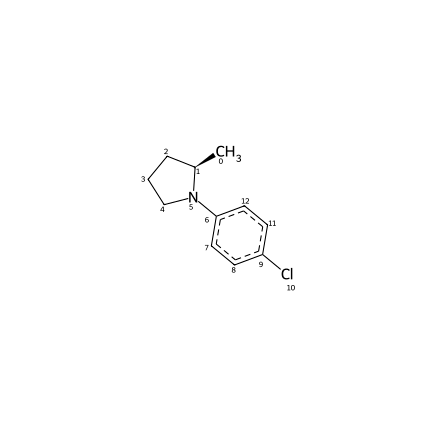 C[C@@H]1CCCN1c1ccc(Cl)cc1